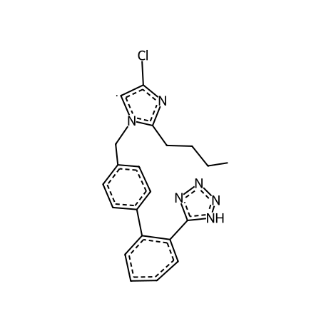 CCCCc1nc(Cl)[c]n1Cc1ccc(-c2ccccc2-c2nnn[nH]2)cc1